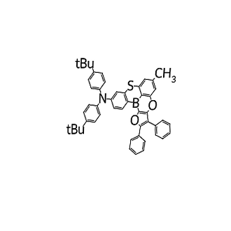 Cc1cc2c3c(c1)Sc1cc(N(c4ccc(C(C)(C)C)cc4)c4ccc(C(C)(C)C)cc4)ccc1B3c1oc(-c3ccccc3)c(-c3ccccc3)c1O2